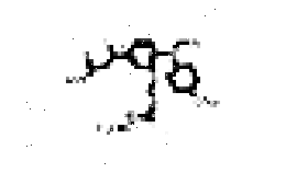 C=NN/C(=N\CNc1cc(C(C)CC(=O)OC)ccc1N(CC(C)C)C1CCC(OC)CC1)C(F)(F)F